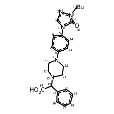 CCC(C)n1ncn(-c2ccc(N3CCN(C(C(=O)O)c4ccccc4)CC3)cc2)c1=O